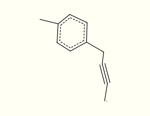 [CH2]C#CCc1ccc(C)cc1